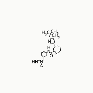 CC(C)(C)Cc1ccc(/C2=C/C(C(=O)Nc3cccc(CN(C=N)C4CC4)c3)=N\C=C/CC2)cn1